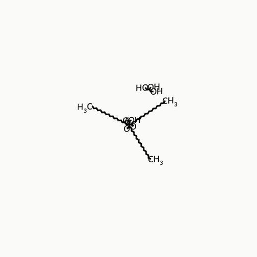 CCCCCCCCCCCCCCCCCC(=O)CC(C(=O)CCCCCCCCCCCCCCCCC)(C(=O)CCCCCCCCCCCCCCCCC)C(O)=S.OCC(O)CO